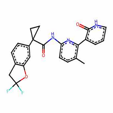 Cc1ccc(NC(=O)C2(c3ccc4c(c3)OC(F)(F)C4)CC2)nc1-c1ccc[nH]c1=O